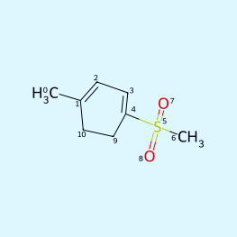 CC1=CC=C(S(C)(=O)=O)CC1